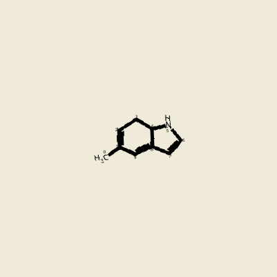 CC1=CCC2NC=CC2=C1